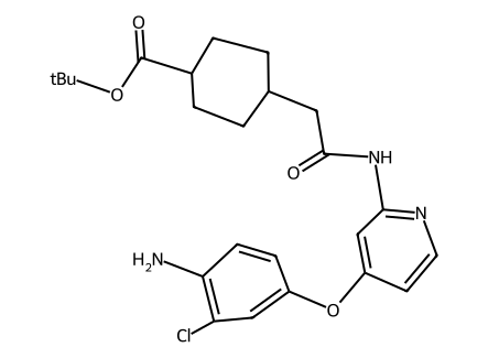 CC(C)(C)OC(=O)C1CCC(CC(=O)Nc2cc(Oc3ccc(N)c(Cl)c3)ccn2)CC1